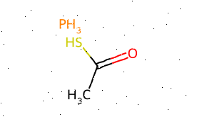 CC(=O)S.P